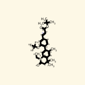 CCN1C(=O)CC(C)(C)c2cc(C)c(-c3ccc(/C=C/C(=O)OC(C)(C)C)cc3OC(F)(F)F)cc21